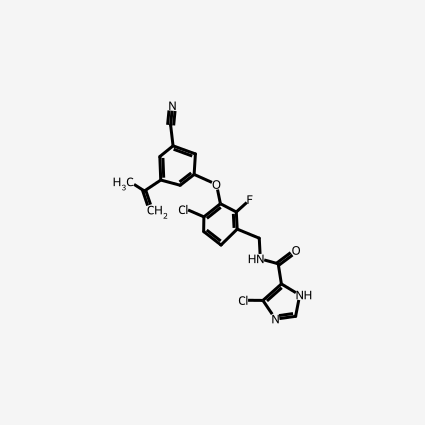 C=C(C)c1cc(C#N)cc(Oc2c(Cl)ccc(CNC(=O)c3[nH]cnc3Cl)c2F)c1